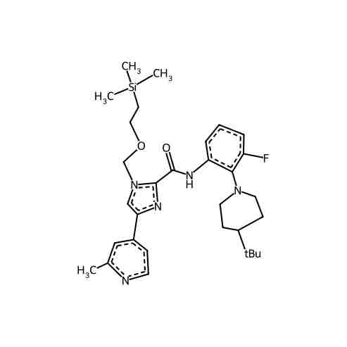 Cc1cc(-c2cn(COCC[Si](C)(C)C)c(C(=O)Nc3cccc(F)c3N3CCC(C(C)(C)C)CC3)n2)ccn1